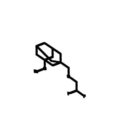 CCOC12CC3CC(CC(COCC(F)F)(C3)C1)C2